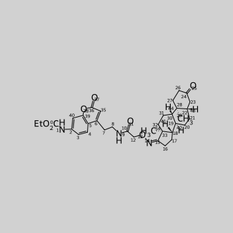 CCOC(=O)Nc1ccc2c(CCNC(=O)CO/N=C3/CC[C@H]4[C@@H]5CC[C@H]6CC(=O)CC[C@]6(C)[C@H]5CC[C@]34C)cc(=O)oc2c1